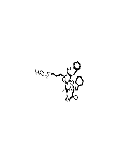 CC(C)C(=O)[C@H](CC1CCCCC1)NC(=S)[C@H](C)N(C)C(=O)[C@@H](Cc1ccccc1)NC(=O)CCCC(=O)O